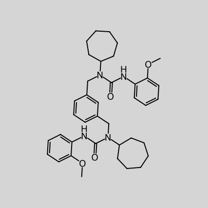 COc1ccccc1NC(=O)N(Cc1cccc(CN(C(=O)Nc2ccccc2OC)C2CCCCCC2)c1)C1CCCCCC1